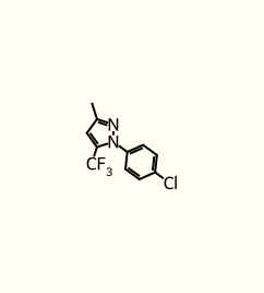 Cc1cc(C(F)(F)F)n(-c2ccc(Cl)cc2)n1